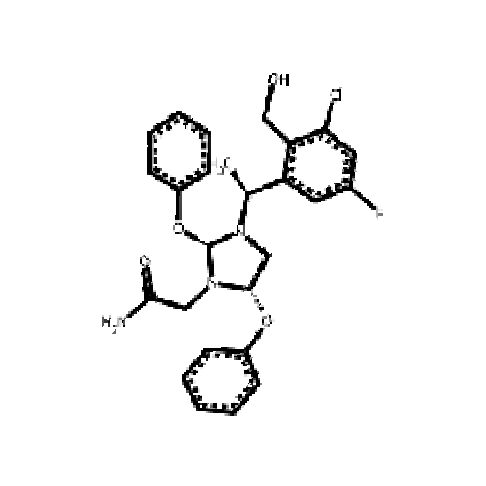 C[C@@H](c1cc(F)cc(Cl)c1CO)N1C[C@H](Oc2ccccc2)N(CC(N)=O)[C@H]1Oc1ccccc1